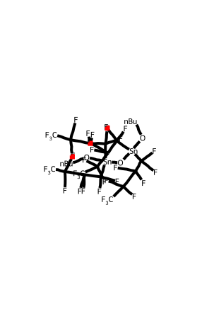 CCCC[O][Sn]([O][Sn]([O]CCCC)([C](F)(F)C(F)(F)C(F)(F)C(F)(F)F)[C](F)(F)C(F)(F)C(F)(F)C(F)(F)F)([C](F)(F)C(F)(F)C(F)(F)C(F)(F)F)[C](F)(F)C(F)(F)C(F)(F)C(F)(F)F